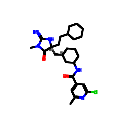 Cc1cc(C(=O)NC2CCC[C@H](C[C@@]3(CCC4CCCCC4)NC(=N)N(C)C3=O)C2)cc(Cl)n1